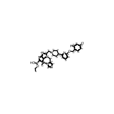 CCOP(O)c1cc2c(nc(CN3CCC(c4cccc(OCc5ccc(Cl)cc5F)n4)CC3)n2Cc2cncn2CC)s1